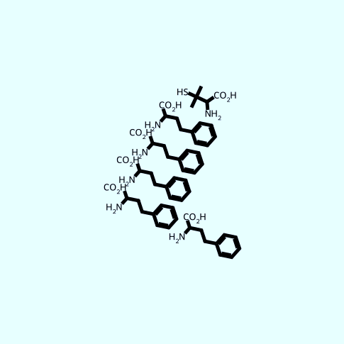 CC(C)(S)C(N)C(=O)O.NC(CCc1ccccc1)C(=O)O.NC(CCc1ccccc1)C(=O)O.NC(CCc1ccccc1)C(=O)O.NC(CCc1ccccc1)C(=O)O.NC(CCc1ccccc1)C(=O)O